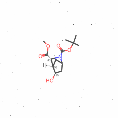 COC(=O)[C@H]1[C@H]2CC(C[C@H]2O)N1C(=O)OC(C)(C)C